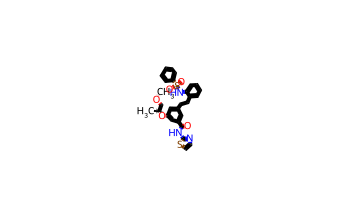 COC[C@H](C)Oc1cc(CCc2ccccc2NS(=O)(=O)c2ccccc2)cc(C(=O)Nc2nccs2)c1